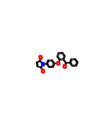 O=C(c1ccccc1)c1ccccc1Oc1ccc(N2C(=O)C=CC2=O)cc1